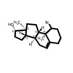 C[C@]12CC[C@H]3[C@@H](CC=C4CCCC(Br)[C@@]43C)[C@@H]1CC[C@@H]2O